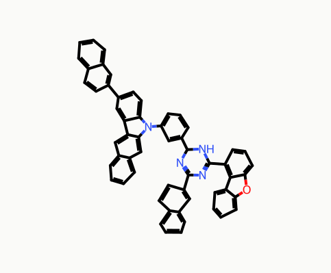 c1cc(C2N=C(c3ccc4ccccc4c3)N=C(c3cccc4oc5ccccc5c34)N2)cc(-n2c3ccc(-c4ccc5ccccc5c4)cc3c3cc4ccccc4cc32)c1